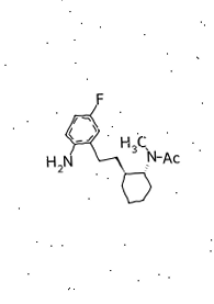 CC(=O)N(C)[C@@H]1CCCC[C@H]1CCc1cc(F)ccc1N